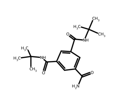 CC(C)(C)NC(=O)c1cc(C(N)=O)cc(C(=O)NC(C)(C)C)c1